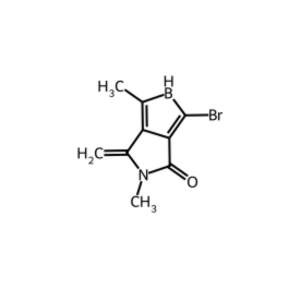 C=C1C2=C(C)BC(Br)=C2C(=O)N1C